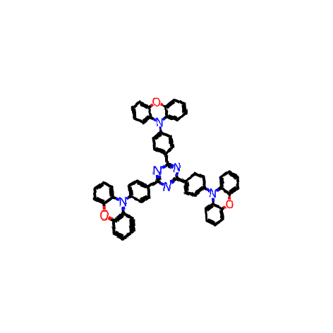 c1ccc2c(c#1)N(c1ccc(-c3nc(C4=CC=C(N5c6ccccc6Oc6ccccc65)CC4)nc(-c4ccc(N5c6ccccc6Oc6ccccc65)cc4)n3)cc1)c1ccccc1O2